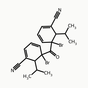 CC(C)C1C(C#N)=CC=CC1(Br)C(=O)C1(Br)C=CC=C(C#N)C1C(C)C